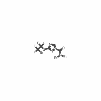 CCN(CC)C(=O)n1cnc(SC(F)(F)C(F)(F)Br)n1